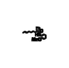 CC=CCCCCC(CC)C(=O)Nc1ccccc1OC